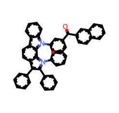 O=C(c1cccc(-n2c3ccccc3c3ccc4c(-c5ccccc5)c(-c5ccccc5)n(-c5ccccc5)c4c32)c1)c1ccc2ccccc2c1